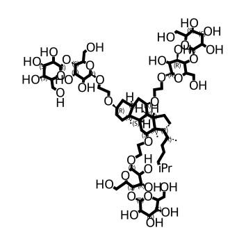 CC(C)CCC[C@@H](C)[C@H]1CC[C@H]2[C@@H]3[C@H](OCCO[C@@H]4OC(CO)C(O[C@H]5OC(CO)[C@@H](O)[C@H](O)C5O)[C@H](O)C4O)C[C@@H]4C[C@H](OCCO[C@@H]5OC(CO)[C@@H](O[C@H]6OC(CO)[C@@H](O)[C@H](O)C6O)[C@H](O)C5O)CC[C@]4(C)[C@H]3C[C@H](OCCO[C@@H]3OC(CO)[C@@H](O[C@H]4OC(CO)[C@@H](O)[C@H](O)C4O)[C@H](O)C3O)[C@]12C